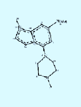 CNc1cc(N2CCN(C)CC2)c2ccn(C)c2c1